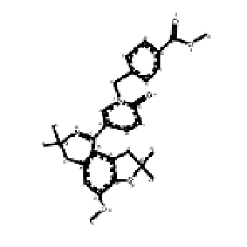 COC(=O)c1ccc(Cn2cc(C3=NC(C)(C)Cc4cc(OC)c5c(c43)CC(C)(C)O5)ccc2=O)cc1